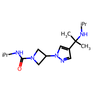 CC(C)NC(=O)N1CC(n2cc(C(C)(C)NC(C)C)cn2)C1